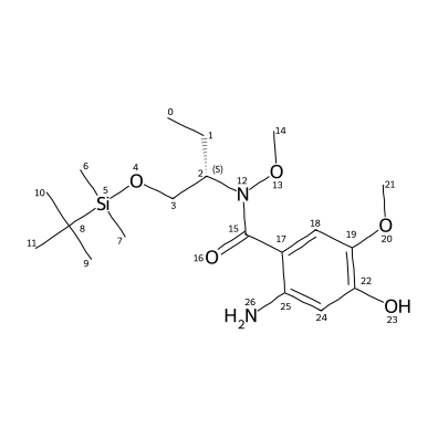 CC[C@@H](CO[Si](C)(C)C(C)(C)C)N(OC)C(=O)c1cc(OC)c(O)cc1N